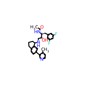 CC(=O)N[C@@H](Cc1cc(F)cc(F)c1)[C@H](O)CNC1CCCc2ccc(-c3cnccc3C)cc21